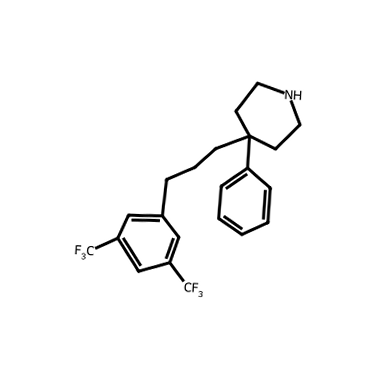 FC(F)(F)c1cc(CCCC2(c3ccccc3)CCNCC2)cc(C(F)(F)F)c1